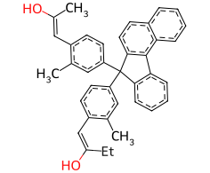 CC/C(O)=C\c1ccc(C2(c3ccc(/C=C(\C)O)c(C)c3)c3ccccc3-c3c2ccc2ccccc32)cc1C